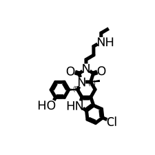 CCNCCCN1C(=O)N2[C@H](c3cccc(O)c3)c3[nH]c4ccc(Cl)cc4c3C[C@@]2(C)C1=O